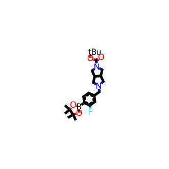 CC(C)(C)OC(=O)N1CC2CN(Cc3ccc(B4OC(C)(C)C(C)(C)O4)c(F)c3)CC2C1